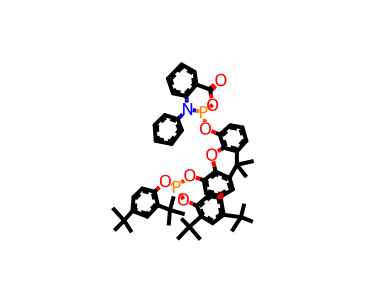 CC(C)(C)c1ccc(OP(Oc2ccc(C(C)(C)C)cc2C(C)(C)C)Oc2cccc3c2Oc2c(OP4OC(=O)c5ccccc5N4c4ccccc4)cccc2C3(C)C)c(C(C)(C)C)c1